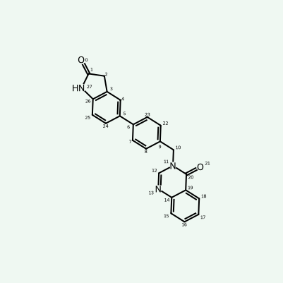 O=C1Cc2cc(-c3ccc(Cn4cnc5ccccc5c4=O)cc3)ccc2N1